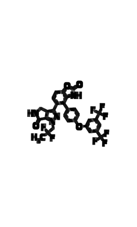 CC(F)(F)Cn1nc(-c2ccc3oc(=O)[nH]c3c2-c2ccc(Oc3cc(C(F)(F)F)cc(C(F)(F)F)c3)cc2)c2c1C(=O)NC2